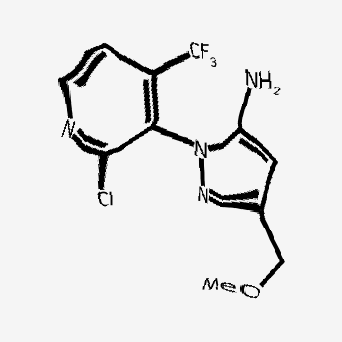 COCc1cc(N)n(-c2c(C(F)(F)F)ccnc2Cl)n1